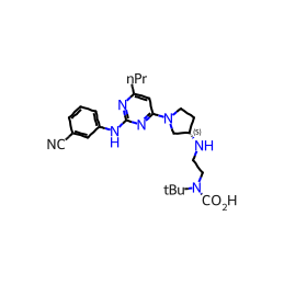 CCCc1cc(N2CC[C@H](NCCN(C(=O)O)C(C)(C)C)C2)nc(Nc2cccc(C#N)c2)n1